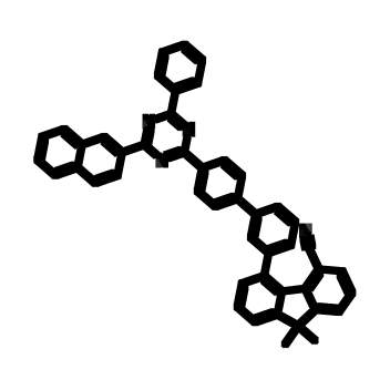 CC1(C)c2cccc(C#N)c2-c2c(-c3cccc(-c4ccc(-c5nc(-c6ccccc6)nc(-c6ccc7ccccc7c6)n5)cc4)c3)cccc21